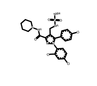 CNS(=O)(=O)NCc1c(C(=O)NN2CCCCC2)nn(-c2ccc(Cl)cc2Cl)c1-c1ccc(Cl)cc1